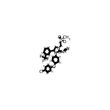 CS(=O)(=O)CCN1CC(c2cccc(C(F)(F)F)c2)N(c2ccc(Oc3ccc(Cl)cc3)cc2)/C1=N/C#N